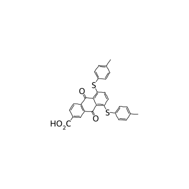 Cc1ccc(Sc2ccc(Sc3ccc(C)cc3)c3c2C(=O)c2ccc(C(=O)O)cc2C3=O)cc1